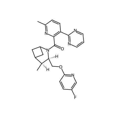 Cc1ccc(-c2ncccn2)c(C(=O)N2C3CC(C3)[C@H](C)[C@@H]2COc2ccc(F)cn2)n1